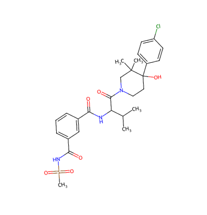 CC(C)C(NC(=O)c1cccc(C(=O)NS(C)(=O)=O)c1)C(=O)N1CCC(O)(c2ccc(Cl)cc2)C(C)(C)C1